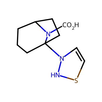 O=C(O)N1C2CCCC1(N1C=CSN1)CC2